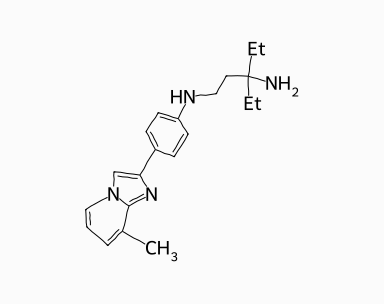 CCC(N)(CC)CCNc1ccc(-c2cn3cccc(C)c3n2)cc1